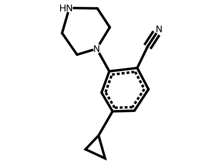 N#Cc1ccc(C2CC2)cc1N1CCNCC1